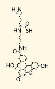 NCCCC[C@H](NCCCCNC(=O)c1ccc(-c2c3ccc(=O)cc-3oc3cc(O)ccc23)c(C(=O)O)c1)C(=O)S